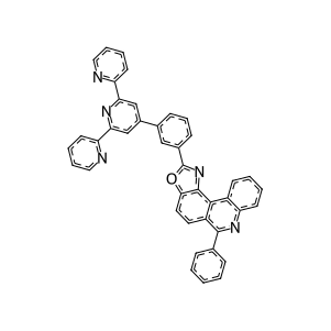 c1ccc(-c2nc3ccccc3c3c2ccc2oc(-c4cccc(-c5cc(-c6ccccn6)nc(-c6ccccn6)c5)c4)nc23)cc1